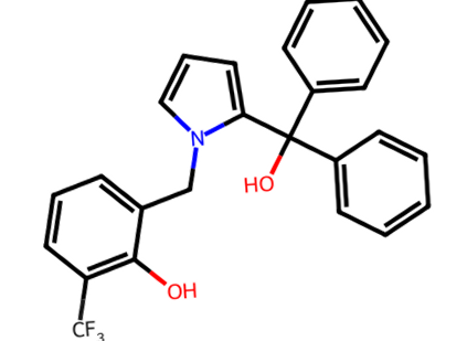 Oc1c(Cn2cccc2C(O)(c2ccccc2)c2ccccc2)cccc1C(F)(F)F